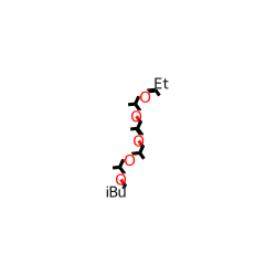 CC/C(C)=C/OCC(C)COC/C(C)=C/OCC(C)COCC(C)COCC(C)CC